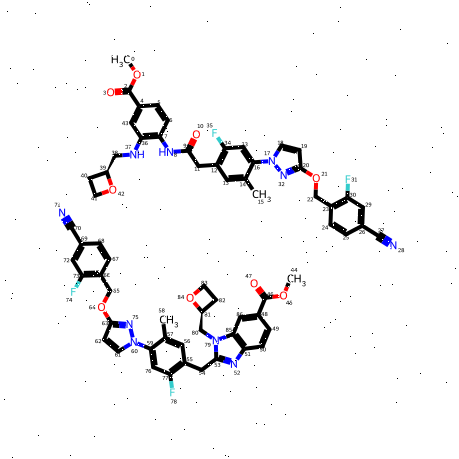 COC(=O)c1ccc(NC(=O)Cc2cc(C)c(-n3ccc(OCc4ccc(C#N)cc4F)n3)cc2F)c(NC[C@@H]2CCO2)c1.COC(=O)c1ccc2nc(Cc3cc(C)c(-n4ccc(OCc5ccc(C#N)cc5F)n4)cc3F)n(C[C@@H]3CCO3)c2c1